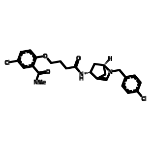 CNC(=O)c1cc(Cl)ccc1OCCCC(=O)N[C@@H]1C[C@@H]2CC1=CN2Cc1ccc(Cl)cc1